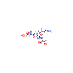 NCCNCCN(CC(=O)NCC(O)CO)CC(=O)NCC(O)CO